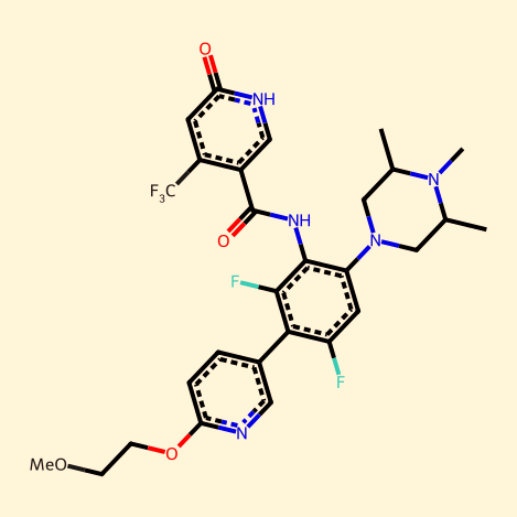 COCCOc1ccc(-c2c(F)cc(N3CC(C)N(C)C(C)C3)c(NC(=O)c3c[nH]c(=O)cc3C(F)(F)F)c2F)cn1